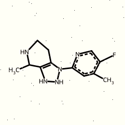 Cc1cc(N2NNC3=C2CCNC3C)ncc1F